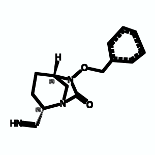 N=C[C@@H]1CC[C@H]2CN1C(=O)N2OCc1ccccc1